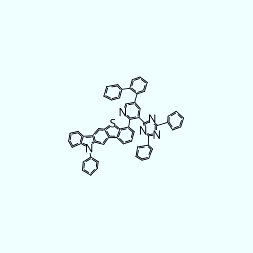 c1ccc(-c2nc(-c3ccccc3)nc(-c3cc(-c4ccccc4-c4ccccc4)cnc3-c3cccc4c3sc3cc5c6ccccc6n(-c6ccccc6)c5cc34)n2)cc1